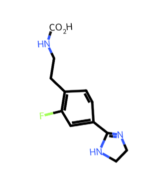 O=C(O)NCCc1ccc(C2=NCCN2)cc1F